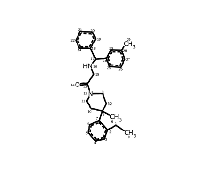 CCc1ccccc1C1(C)CCN(C(=O)CNC(c2ccccc2)c2cccc(C)c2)CC1